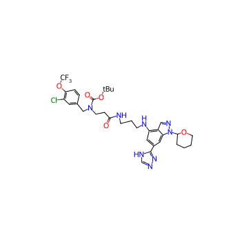 CC(C)(C)OC(=O)N(CCC(=O)NCCCNc1cc(-c2nnc[nH]2)cc2c1cnn2C1CCCCO1)Cc1ccc(OC(F)(F)F)c(Cl)c1